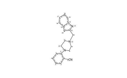 N#Cc1cc[c]cc1N1CCN(Cc2nc3ccccc3s2)CC1